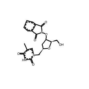 Cc1cn(C[C@H]2CC(ON3C(=O)c4ccccc4C3=O)[C@@H](CO)O2)c(=O)[nH]c1=O